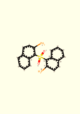 O=S(=O)(c1c(P)ccc2ccccc12)c1c(P)ccc2ccccc12